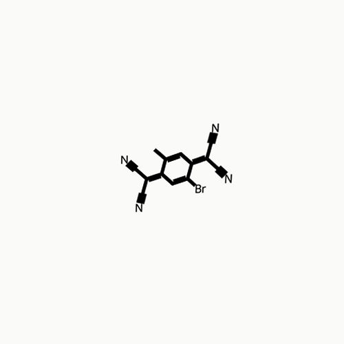 Cc1cc(=C(C#N)C#N)c(Br)cc1=C(C#N)C#N